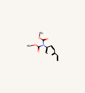 C=CC(=C)/C=C\C(=C/C)N(C(=O)OC(C)(C)C)C(=O)OC(C)(C)C